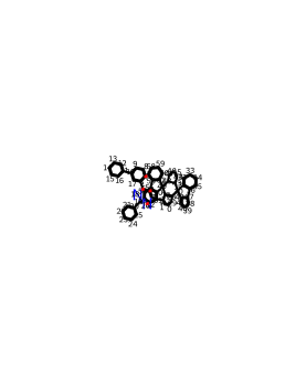 C1=C=C(c2cc(-c3cccc(-c4ccccc4)c3)nc(-c3ccccc3)n2)C2=C(C=1)C1(c3ccccc3-c3ccccc31)C1C=CC=CC1C21c2ccccc2-c2ccccc21